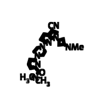 CNC1CC(n2cc(C#N)c3ccc(N4CCN(c5cccc(C(=O)N(C)C)n5)CC4)nc32)C1